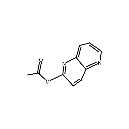 CC(=O)Oc1ccc2ncccc2n1